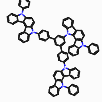 c1ccc(-n2c3ccccc3c3c4c5ccccc5n(-c5ccc(-c6cc(-c7ccc(-n8c9ccccc9c9c8ccc8c%10ccccc%10n(-c%10ccccc%10)c89)cc7)cc(-n7c8ccccc8c8ccc9c(c%10ccccc%10n9-c9ccccc9)c87)c6)cc5)c4ccc32)cc1